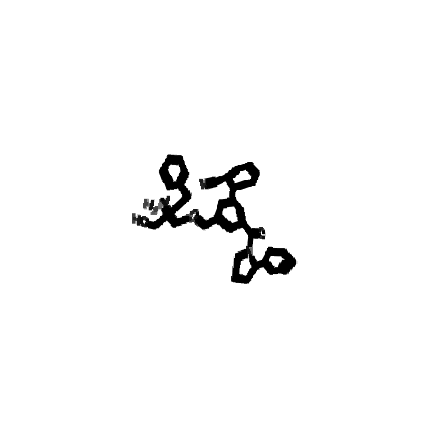 N#Cc1ccccc1-c1cc(COCC(N)(CO)Cc2ccccc2)cc(C(=O)N2CCCC2c2ccccc2)c1